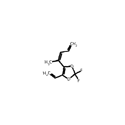 C=C/C=C(/C)C1=C(C=C)OC(F)(F)O1